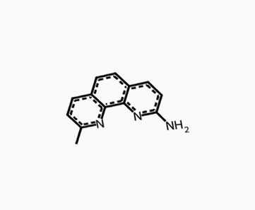 Cc1ccc2ccc3ccc(N)nc3c2n1